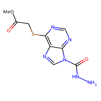 COC(=O)CSc1ncnc2c1ncn2C(=O)NN